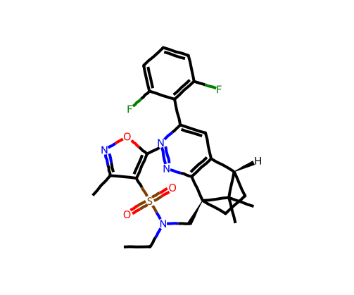 CCN(C[C@@]12CC[C@@H](c3cc(-c4c(F)cccc4F)nnc31)C2(C)C)S(=O)(=O)c1c(C)noc1C